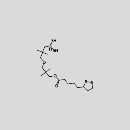 CC(C)(COCC(C)(C)C[SH](S)S)COC(=O)CCCCC1CCSS1